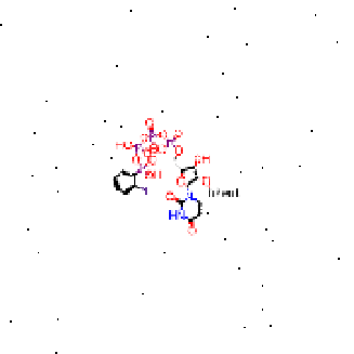 CCCCCO[C@H]1C(O)[C@@H](COP(=O)(O)OP(=O)(O)OP(=O)(O)OP(=O)(O)c2ccccc2I)O[C@H]1n1ccc(=O)[nH]c1=O